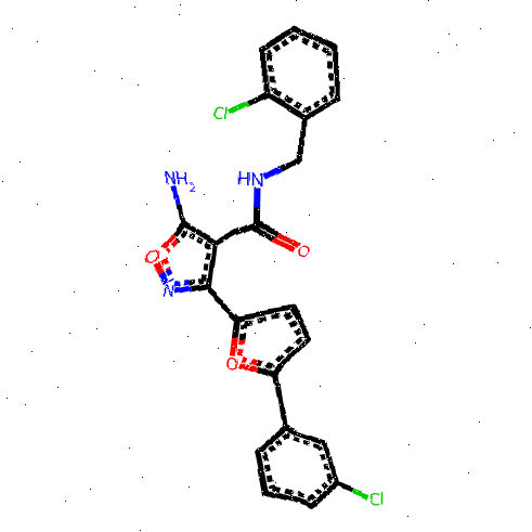 Nc1onc(-c2ccc(-c3cccc(Cl)c3)o2)c1C(=O)NCc1ccccc1Cl